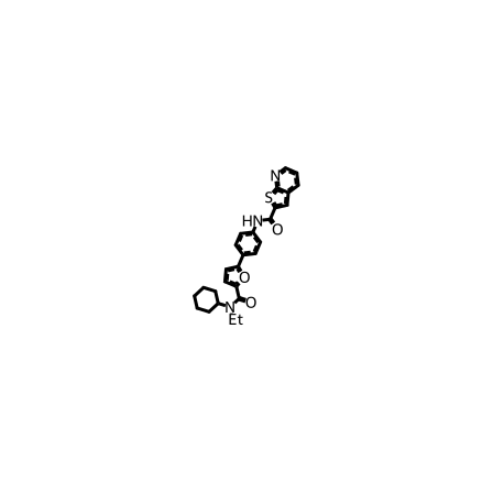 CCN(C(=O)c1ccc(-c2ccc(NC(=O)c3cc4cccnc4s3)cc2)o1)C1CCCCC1